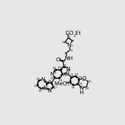 CCOC(=O)C1CN(CCNC(=O)c2nn(-c3cc4c(cc3OC)NCCO4)c3cc(-c4cnn5cccnc45)ncc23)C1